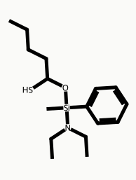 CCCCC(S)O[Si](C)(c1ccccc1)N(CC)CC